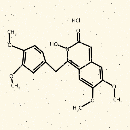 COc1ccc(Cc2c3cc(OC)c(OC)cc3cc(=O)n2O)cc1OC.Cl